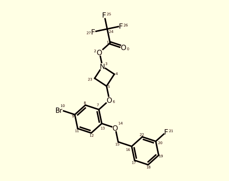 O=C(ON1CC(Oc2cc(Br)ccc2OCc2cccc(F)c2)C1)C(F)(F)F